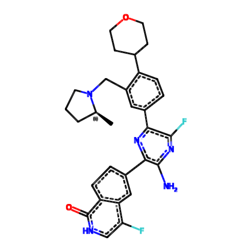 C[C@H]1CCCN1Cc1cc(-c2nc(-c3ccc4c(=O)[nH]cc(F)c4c3)c(N)nc2F)ccc1C1CCOCC1